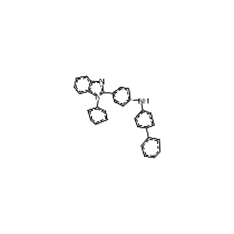 c1ccc(-c2ccc(Nc3ccc(-c4nc5ccccc5n4-c4ccccc4)cc3)cc2)cc1